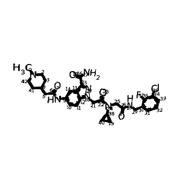 CN1CCC(CC(=O)Nc2ccc3c(c2)c(C(N)=O)nn3CC(=O)N(CC(=O)NCc2cccc(Cl)c2F)C2CC2)CC1